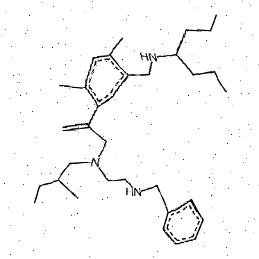 C=C(CN(CCNCc1ccccc1)CC(C)CC)c1cc(CNC(CCC)CCC)c(C)cc1C